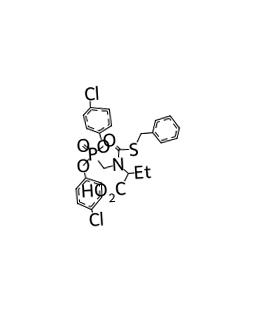 CCC(C(=O)O)N(CP(=O)(Oc1ccc(Cl)cc1)Oc1ccc(Cl)cc1)C(=O)SCc1ccccc1